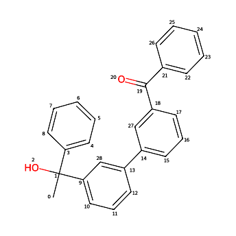 CC(O)(c1ccccc1)c1cccc(-c2cccc(C(=O)c3ccccc3)c2)c1